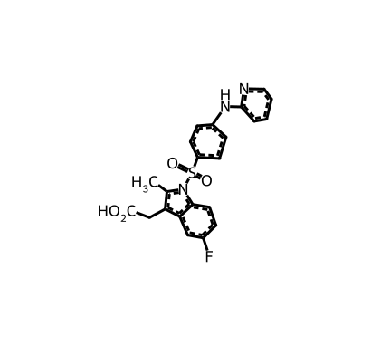 Cc1c(CC(=O)O)c2cc(F)ccc2n1S(=O)(=O)c1ccc(Nc2ccccn2)cc1